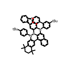 CC(C)(C)c1ccc(N2B3c4cc5c(cc4N(c4ccc(C(C)(C)C)cc4-c4ccccc4)c4cc6ccccc6c(c43)-c3cc4c(cc32)C(C)(C)CCC4(C)C)sc2ccccc25)cc1